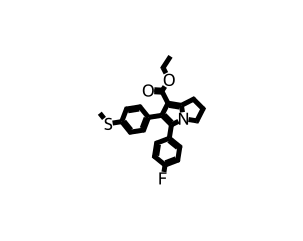 CCOC(=O)c1c(-c2ccc(SC)cc2)c(-c2ccc(F)cc2)n2c1CCC2